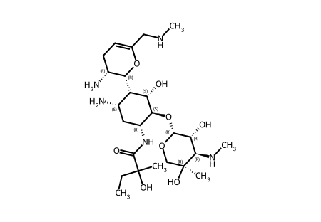 CCC(C)(O)C(=O)N[C@@H]1C[C@H](N)C([C@H]2OC(CNC)=CC[C@H]2N)[C@H](O)[C@H]1O[C@H]1OC[C@](C)(O)[C@H](NC)[C@H]1O